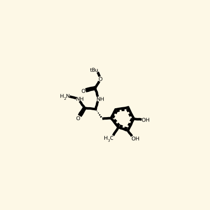 Cc1c(C[C@@H](NC(=O)OC(C)(C)C)C(=O)NN)ccc(O)c1O